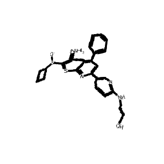 Nc1c([S+]([O-])C2CCC2)sc2nc(-c3ccc(NCCO)nc3)cc(-c3ccccc3)c12